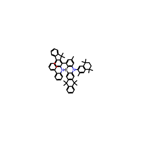 Cc1cc2c3c(c1)N(c1cc4c(cc1C)C(C)(C)CCC4(C)C)c1cc4c(cc1B3N(c1ccccc1-c1ccccc1)c1ccc3c(c1-2)C(C)(C)c1ccccc1-3)C(C)(C)c1ccccc1C4(C)C